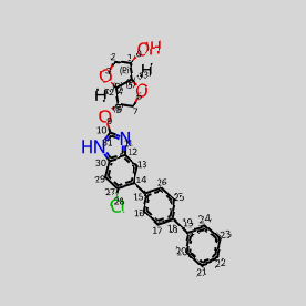 O[C@@H]1CO[C@H]2[C@@H]1OC[C@H]2Oc1nc2cc(-c3ccc(-c4ccccc4)cc3)c(Cl)cc2[nH]1